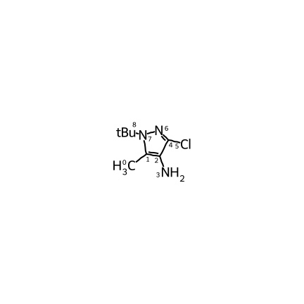 Cc1c(N)c(Cl)nn1C(C)(C)C